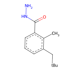 Cc1c(CC(C)(C)C)cccc1C(=O)NN